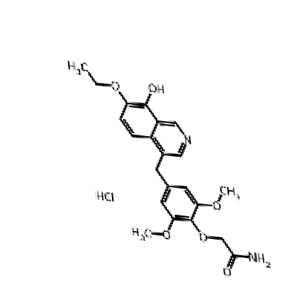 CCOc1ccc2c(Cc3cc(OC)c(OCC(N)=O)c(OC)c3)cncc2c1O.Cl